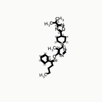 CCCCC(=NOc1ncnc(N2CCC(c3nc(C(C)C)no3)CC2)c1C)c1ccccc1